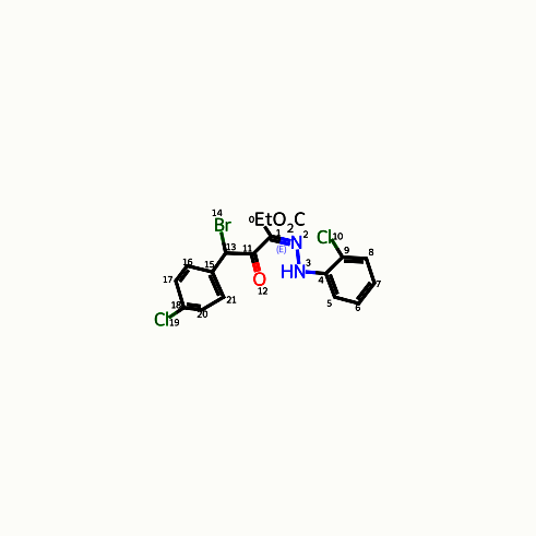 CCOC(=O)/C(=N/Nc1ccccc1Cl)C(=O)C(Br)c1ccc(Cl)cc1